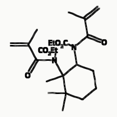 C=C(C)C(=O)N(C(=O)OCC)C1CCCC(C)(C)C1(C)N(C(=O)OCC)C(=O)C(=C)C